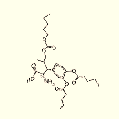 CCCCCOC(=O)OCC(C)C(c1ccc(OC(=O)CCCC)c(OC(=O)CCCC)c1)[C@H](N)C(=O)O